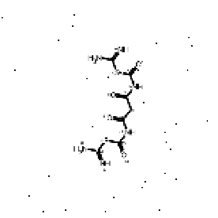 N=C(N)SC(=O)NC(=O)CC(=O)NC(=O)SC(=N)N